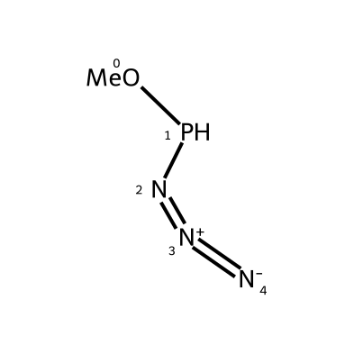 COPN=[N+]=[N-]